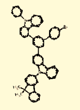 CC1(C)c2ccccc2-c2cc(-n3c4ccccc4c4cc(-c5cc(-c6ccc(Br)cc6)cc(-c6cccc7c6c6ccccc6n7-c6ccccc6)c5)ccc43)ccc21